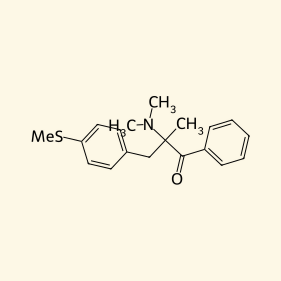 CSc1ccc(CC(C)(C(=O)c2ccccc2)N(C)C)cc1